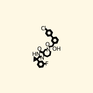 O=C(C(O)c1cccc(-c2ccc(Cl)cc2)c1)N1CCCc2nc(C3(c4cccc(F)c4)CC3)[nH]c(=O)c2C1